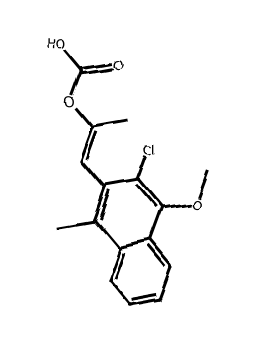 COc1c(Cl)c(/C=C(\C)OC(=O)O)c(C)c2ccccc12